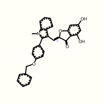 Cn1c(-c2ccc(OCc3ccccc3)cc2)c(/C=C2\Oc3cc(O)cc(O)c3C2=O)c2ccccc21